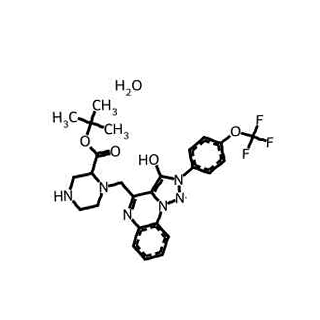 CC(C)(C)OC(=O)C1CNCCN1CC1=Nc2ccccc2N2[N]N(c3ccc(OC(F)(F)F)cc3)C(O)=C12.O